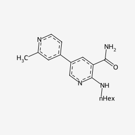 CCCCCCNc1ncc(-c2ccnc(C)c2)cc1C(N)=O